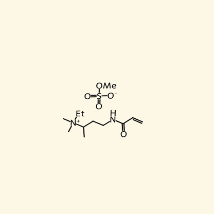 C=CC(=O)NCCC(C)[N+](C)(C)CC.COS(=O)(=O)[O-]